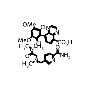 CN(CC(=O)N(C)C)Cc1ccc(C(N)=O)nc1.COc1cc(OC)c(Cl)c(-c2ccc(C(=O)O)c3nccnc23)c1Cl